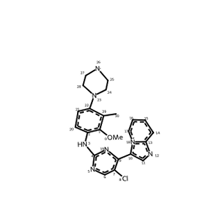 COc1c(Nc2ncc(Cl)c(-c3cnc4ccccn34)n2)ccc(N2CC[N]CC2)c1C